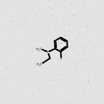 CCP(C)c1ccccc1F